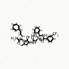 CC1C[C@H](NC(=O)CP(=O)(O)C(NC(=O)c2cccc(C(F)(F)F)c2)c2ccccc2)C(=O)N1[C@@H](C/C=C/c1ccccc1)C(N)=O